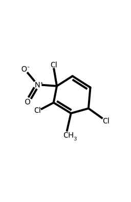 CC1=C(Cl)C(Cl)([N+](=O)[O-])C=CC1Cl